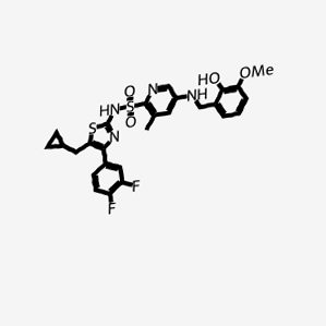 COc1cccc(CNc2cnc(S(=O)(=O)Nc3nc(-c4ccc(F)c(F)c4)c(CC4CC4)s3)c(C)c2)c1O